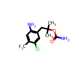 CC(C)(Cc1cc(Cl)c(C(F)(F)F)cc1N)OC(N)=O